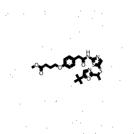 COC(=O)CCCOc1ccc(CC(=O)Nc2ncc(SC(C)c3ncc(C(C)(C)C)o3)s2)cc1